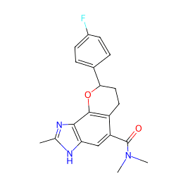 Cc1nc2c3c(c(C(=O)N(C)C)cc2[nH]1)CCC(c1ccc(F)cc1)O3